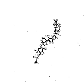 COc1cc(OC2CCc3c(-c4cccc(NC(=O)c5nc6c(n5C)CCN(S(=O)(=O)C5CC5)C6)c4Cl)cccc32)c(Cl)c(F)c1CNOC(=O)C1CC1